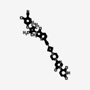 CC1(C)[C@H](Oc2ccc(C#N)c(Cl)c2)C(C)(C)[C@H]1N1Cc2nc(C#C[C@H]3C[C@H](N4CCN(c5cc(=O)n(C6CCC(=O)NC6=O)cn5)CC4)C3)ccc2C1=O